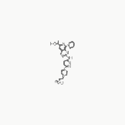 CC(O)c1cc2cnc(Nc3ccc(N4CCN(CCS(C)(=O)=O)CC4)nn3)nc2c(N2CCCCC2)n1